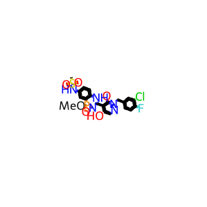 COP1(=O)N=C(c2c(O)cnn(Cc3ccc(F)c(Cl)c3)c2=O)Nc2ccc(NS(C)(=O)=O)cc21